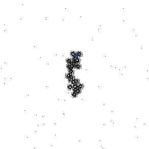 CC1(C)c2cc3c4c(-c5ccccc5)c5cc6c7ccccc7c7cccc(c5c(-c5ccccc5)c4c4cccc(c2-c2ccc5c(-c8ccc9c(c8)c8cccc%10c%11c(-c%12ccccc%12)c%12c%13cc%14c%15ccccc%15n(-c%15ccccc%15)c%14c%14cccc(c%12c(-c%12ccccc%12)c%11cc9c8%10)c%13%14)cccc5c21)c34)c76